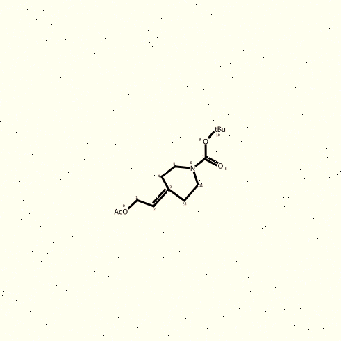 CC(=O)OCC=C1CCN(C(=O)OC(C)(C)C)CC1